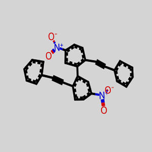 O=[N+]([O-])c1ccc(C#Cc2ccccc2)c(-c2cc([N+](=O)[O-])ccc2C#Cc2ccccc2)c1